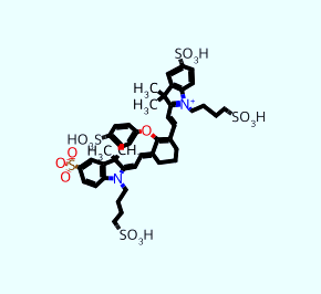 CC1(C)C(/C=C/C2=C(Oc3ccc(S(=O)(=O)O)cc3)C(=C/C=C3/N(CCCCS(=O)(=O)O)c4ccc(S(=O)(=O)[O-])cc4C3(C)C)/CCC2)=[N+](CCCCS(=O)(=O)O)c2ccc(S(=O)(=O)O)cc21